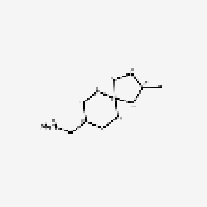 CNCC1CCC2(CC1)CC[C@@H](C)C2